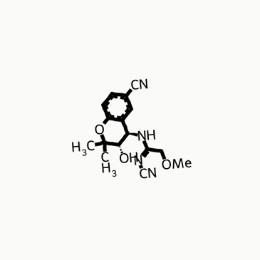 COCC(=NC#N)N[C@@H]1c2cc(C#N)ccc2OC(C)(C)[C@H]1O